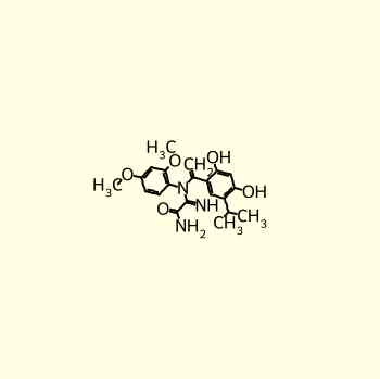 C=C(c1cc(C(C)C)c(O)cc1O)N(C(=N)C(N)=O)c1ccc(OC)cc1OC